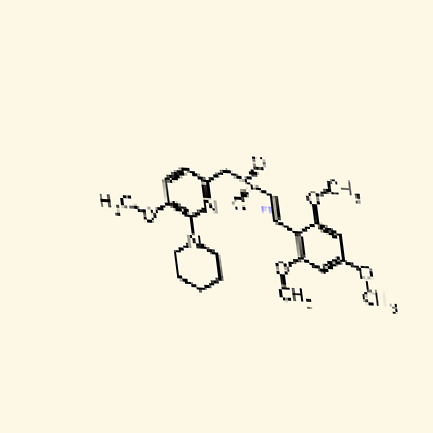 COc1cc(OC)c(/C=C/S(=O)(=O)Cc2ccc(OC)c(N3CCCCC3)n2)c(OC)c1